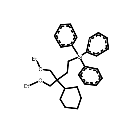 CCOCC(CC[Si](c1ccccc1)(c1ccccc1)c1ccccc1)(COCC)C1CCCCC1